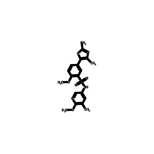 COc1ccc(-c2sc(N)nc2C)cc1S(=O)(=O)Nc1cnc(OC)c(C)c1